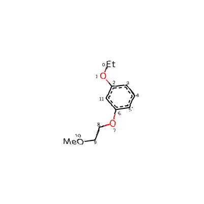 CCOc1cc[c]c(OCCOC)c1